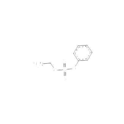 NCOS(=S)(=S)Oc1ccccc1